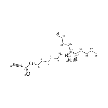 C#CC(=O)OCCCCCCn1nnc(CCCC)c1CCCC